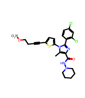 Cc1c(C(=O)NN2CCCCC2)nc(-c2ccc(Cl)cc2Cl)n1-c1ccc(C#CCCO[N+](=O)[O-])s1